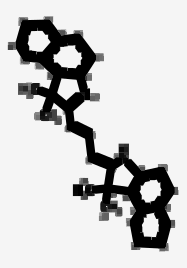 CC1(C)C(/C=C/C=C2\Nc3ccc4ccccc4c3C2(C)C)=Nc2ccc3ccccc3c21